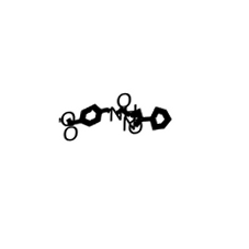 COC(=O)c1ccc(CNC(=O)c2cc(-c3ccccc3)on2)cc1